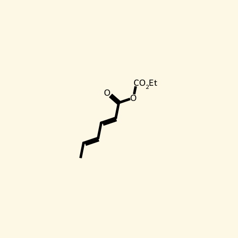 CC=CC=CC(=O)OC(=O)OCC